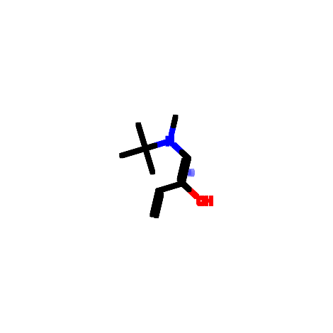 C=C/C(O)=C\N(C)C(C)(C)C